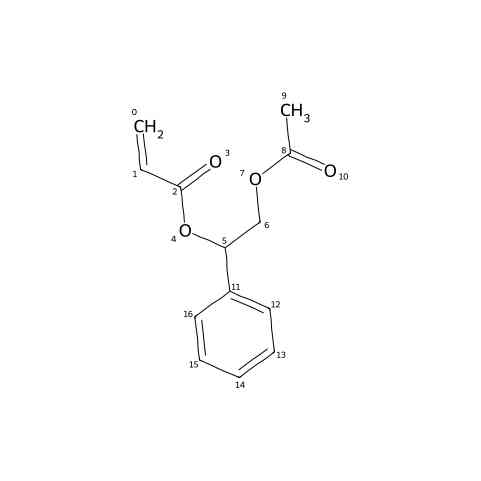 C=CC(=O)OC(COC(C)=O)c1ccccc1